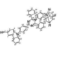 N#Cc1ccc2c(c1)c1ccccc1n2-c1ccc(-c2nc(-c3ccccc3)nc(-c3ccccc3-c3ccc(C45C[C@H]6C[C@@H](C4)C[C@@H](C5)C6)cc3)n2)cc1